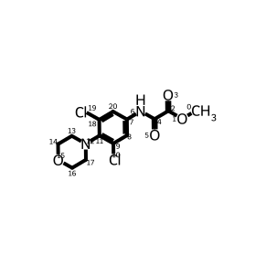 COC(=O)C(=O)Nc1cc(Cl)c(N2CCOCC2)c(Cl)c1